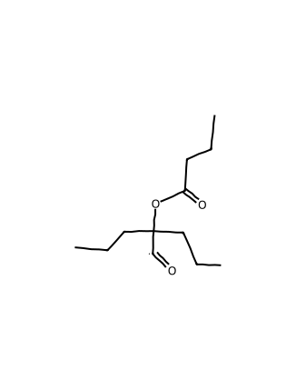 CCCC(=O)OC([C]=O)(CCC)CCC